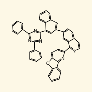 c1ccc(-c2nc(-c3ccccc3)nc(-c3cc(-c4ccc5ccnc(-c6ccc7oc8ccccc8c7n6)c5c4)cc4ccccc34)n2)cc1